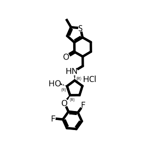 Cc1cc2c(s1)CCC(CN[C@@H]1CC[C@@H](Oc3c(F)cccc3F)[C@@H]1O)C2=O.Cl